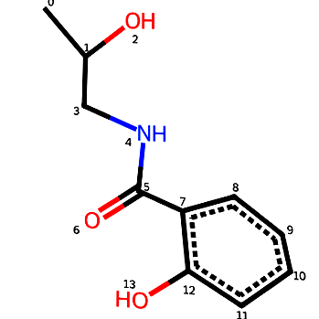 CC(O)CNC(=O)c1ccccc1O